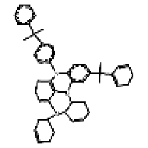 CC(C)(C1=CCCC=C1)c1ccc2c(c1)B1C3=C(CCC=C3N(C3CC=CCC3)C3C=CCCC13)N2c1ccc(C(C)(C)c2ccccc2)cc1